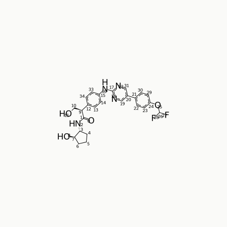 O=C(N[C@@H]1CCC[C@H]1O)[C@@H](CO)c1ccc(Nc2ncc(-c3ccc(OC(F)F)cc3)cn2)cc1